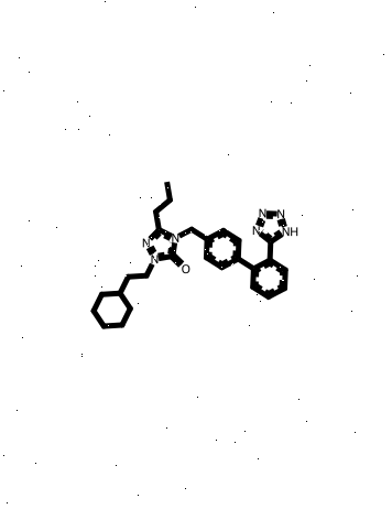 CCCc1nn(CCC2CCCCC2)c(=O)n1Cc1ccc(-c2ccccc2-c2nnn[nH]2)cc1